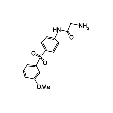 COc1cccc(S(=O)(=O)c2ccc(NC(=O)CN)cc2)c1